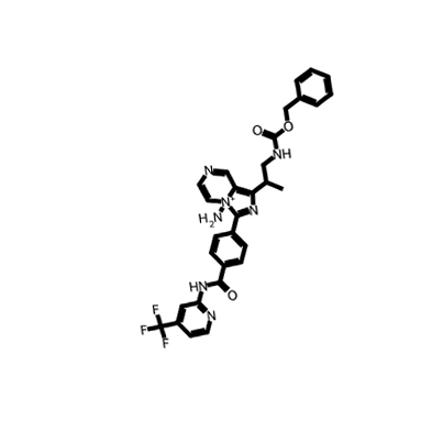 CC(CNC(=O)OCc1ccccc1)C1=C2C=NC=C[N+]2(N)C(c2ccc(C(=O)Nc3cc(C(F)(F)F)ccn3)cc2)=N1